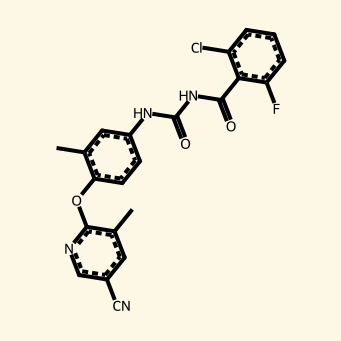 Cc1cc(NC(=O)NC(=O)c2c(F)cccc2Cl)ccc1Oc1ncc(C#N)cc1C